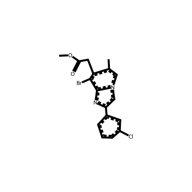 COC(=O)Cc1c(C)cn2cc(-c3cccc(Cl)c3)nc2c1Br